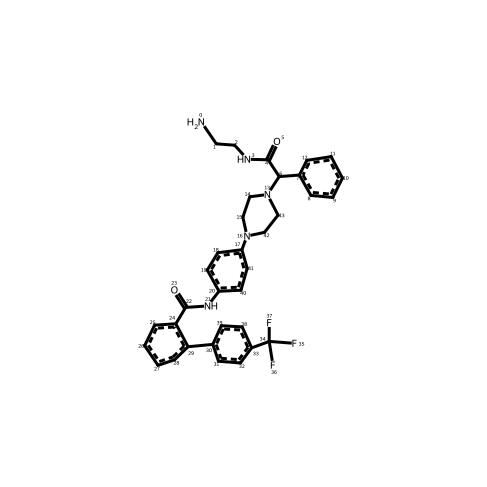 NCCNC(=O)C(c1ccccc1)N1CCN(c2ccc(NC(=O)c3ccccc3-c3ccc(C(F)(F)F)cc3)cc2)CC1